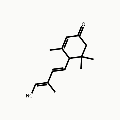 CC1=CC(=O)CC(C)(C)C1/C=C/C(C)=C/C#N